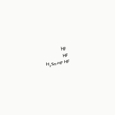 F.F.F.F.[SnH2]